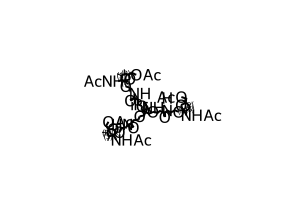 CC(=O)NC1[C@H](OCCNC(=O)CCOCC(COCCC(=O)NCCO[C@@H]2OC(COC(C)=O)[C@H](C)[C@H](C)C2NC(C)=O)(COCCC(=O)NCCO[C@@H]2OC(COC(C)=O)[C@H](C)[C@H](C)C2NC(C)=O)NC(C)C)OC(COC(C)=O)[C@H](C)[C@@H]1C